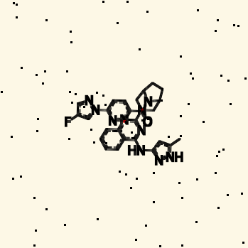 Cc1cc(Nc2nc(N3CC4CCC(C3)N4C(=O)c3ccc(-n4cc(F)cn4)nc3)nc3ccccc23)n[nH]1